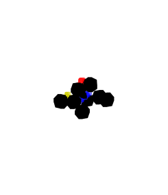 c1ccc(-c2cc(-c3ccc4ccccc4c3)nc(-c3c(-c4cccc5c4sc4ccccc45)ccc4oc5ccccc5c34)n2)cc1